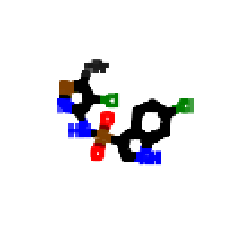 CCCc1snc(NS(=O)(=O)c2c[nH]c3cc(Cl)ccc23)c1Cl